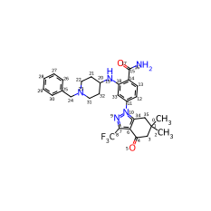 CC1(C)CC(=O)c2c(C(F)(F)F)nn(-c3ccc(C(N)=O)c(NC4CCN(Cc5ccccc5)CC4)c3)c2C1